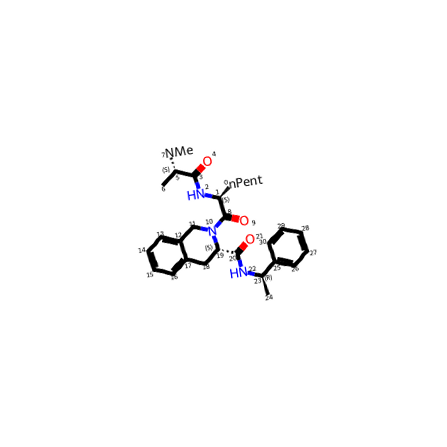 CCCCC[C@H](NC(=O)[C@H](C)NC)C(=O)N1Cc2ccccc2C[C@H]1C(=O)N[C@H](C)c1ccccc1